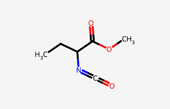 CCC(N=C=O)C(=O)OC